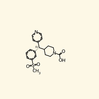 CS(=O)(=O)c1cccc([C@H](c2ccncc2)C2CCN(C(=O)O)CC2)c1